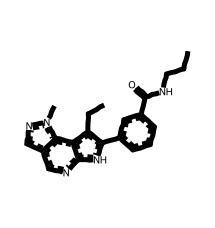 CCCNC(=O)c1cccc(-c2[nH]c3ncc4cnn(C)c4c3c2CC)c1